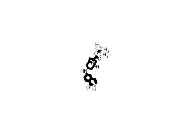 CC(C)(C)OC(=O)C12CC3C[C@@H](Nc4ccc5c(=O)[nH]ccc5c4)C[C@H](C1)N32